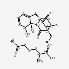 CN1C(=O)[C@]23CC4=CC=C[C@H](O)[C@H]4N2C(=O)[C@@]1(CO)SS3.NC(CCCC(=O)O)C(=O)O